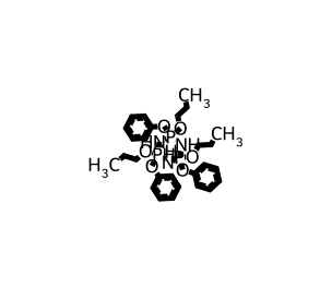 CCCOP1(Oc2ccccc2)=N[PH](OCCC)(Oc2ccccc2)N[PH](OCCC)(Oc2ccccc2)N1